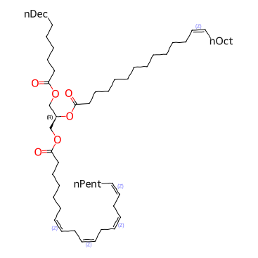 CCCCC/C=C\C/C=C\C/C=C\C/C=C\CCCCCC(=O)OC[C@@H](COC(=O)CCCCCCCCCCCCCCC)OC(=O)CCCCCCCCCCC/C=C\CCCCCCCC